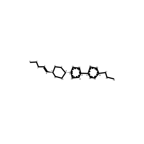 CCC/C=C/[C@H]1CC[C@H](c2ccc(-c3ccc(CCC)cc3)cc2)CC1